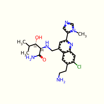 CC(C)[C@H](O)[C@@H](NCc1cc(-c2cncn2C)nc2cc(Cl)c(CCN)cc12)C(N)=O